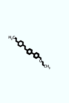 C=CCC1CCC(CCc2ccc(-c3ccc(COCCC)cc3)cc2)CC1